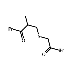 CC(C)C(=O)CSCC(C)C(=O)C(C)C